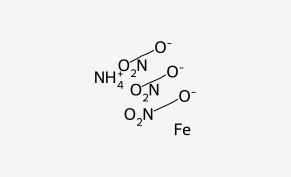 O=[N+]([O-])[O-].O=[N+]([O-])[O-].O=[N+]([O-])[O-].[Fe].[NH4+]